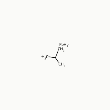 [CH2]C(C)C.[PbH2]